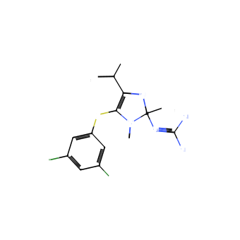 CC(C)C1=C(Sc2cc(Cl)cc(Cl)c2)N(C)C(C)(N=C(N)N)N1